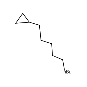 CCCCCCCCCC1CC1